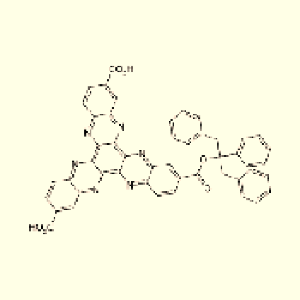 O=C(O)c1ccc2nc3c4nc5ccc(C(=O)O)cc5nc4c4nc5cc(C(=O)OC(Cc6ccccc6)(Cc6ccccc6)c6ccccc6)ccc5nc4c3nc2c1